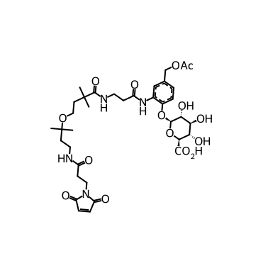 CC(=O)OCc1ccc(O[C@@H]2O[C@H](C(=O)O)[C@@H](O)[C@H](O)[C@H]2O)c(NC(=O)CCNC(=O)C(C)(C)CCOC(C)(C)CCNC(=O)CCN2C(=O)C=CC2=O)c1